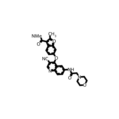 CNC(=O)c1c(C)oc2cc(Oc3c(C#N)cnc4ccc(NC(=O)CN5CCOCC5)cc34)ccc12